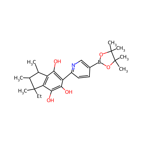 CCC1(C)c2c(O)c(O)c(-c3ccc(B4OC(C)(C)C(C)(C)O4)cn3)c(O)c2C(C)C1C